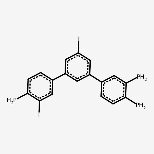 Pc1ccc(-c2cc(I)cc(-c3ccc(P)c(I)c3)c2)cc1P